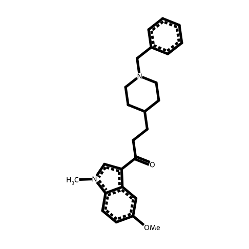 COc1ccc2c(c1)c(C(=O)CCC1CCN(Cc3ccccc3)CC1)cn2C